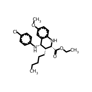 CCCCC[C@H]1[C@@H](C(=O)OCC)Nc2ccc(OC)cc2[C@H]1Nc1ccc(Cl)cc1